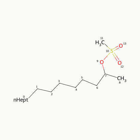 CCCCCCCCCCCCCC(C)OS(C)(=O)=O